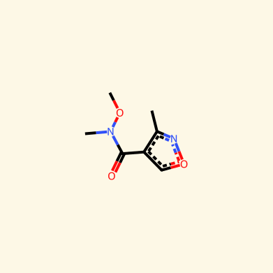 CON(C)C(=O)c1conc1C